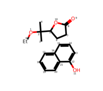 CCOC(C)(C)C1CCC(=O)O1.Oc1cccc2ccccc12